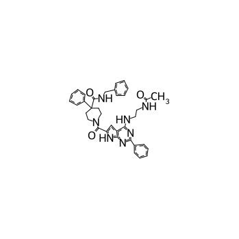 CC(=O)NCCNc1nc(-c2ccccc2)nc2[nH]c(C(=O)N3CCC(C(=O)NCc4ccccc4)(c4ccccc4)CC3)cc12